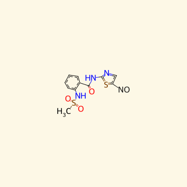 CS(=O)(=O)Nc1ccccc1C(=O)Nc1ncc(N=O)s1